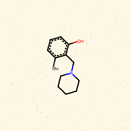 CC(C)(C)c1cccc(O)c1CN1CCCCC1